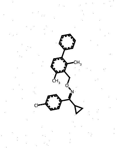 Cc1ccc(-c2ccccc2)c(C)c1CON=C(c1ccc(Cl)cc1)C1CC1